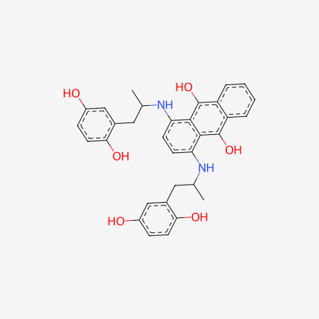 CC(Cc1cc(O)ccc1O)Nc1ccc(NC(C)Cc2cc(O)ccc2O)c2c(O)c3ccccc3c(O)c12